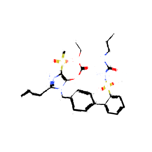 CCCNC(=O)NS(=O)(=O)c1ccccc1-c1ccc(Cn2c(CCC)nc(S(C)(=O)=O)c2OC(=O)OCC)cc1